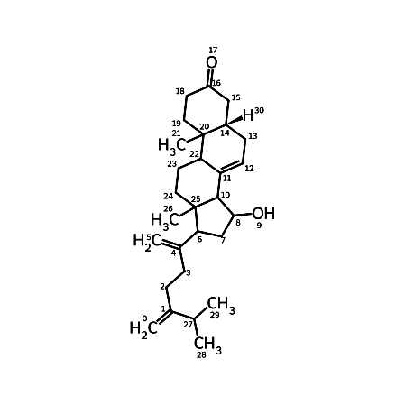 C=C(CCC(=C)C1CC(O)C2C3=CC[C@H]4CC(=O)CCC4(C)C3CCC12C)C(C)C